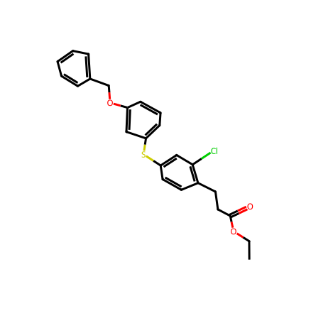 CCOC(=O)CCc1ccc(Sc2cccc(OCc3ccccc3)c2)cc1Cl